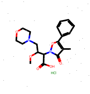 COC(CN1CCOCC1)C(C(=O)O)n1oc(-c2ccccc2)c(C)c1=O.Cl